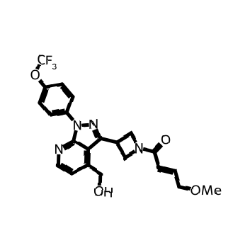 COC/C=C/C(=O)N1CC(c2nn(-c3ccc(OC(F)(F)F)cc3)c3nccc(CO)c23)C1